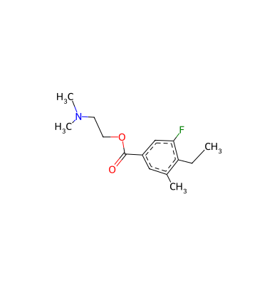 CCc1c(C)cc(C(=O)OCCN(C)C)cc1F